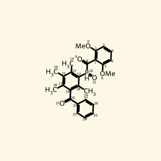 COc1cccc(OC)c1C(=O)[PH](=O)c1c(C)c(C)c(C)c(C(=O)c2ccccc2)c1C